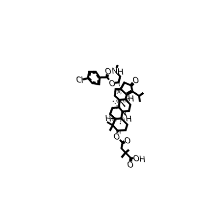 CNCC(OC(=O)c1ccc(Cl)cc1)[C@@]12CC[C@]3(C)[C@H](CC[C@@H]4[C@@]5(C)CC[C@H](OC(=O)CC(C)(C)C(=O)O)C(C)(C)[C@@H]5CC[C@]43C)C1=C(C(C)C)C(=O)C2